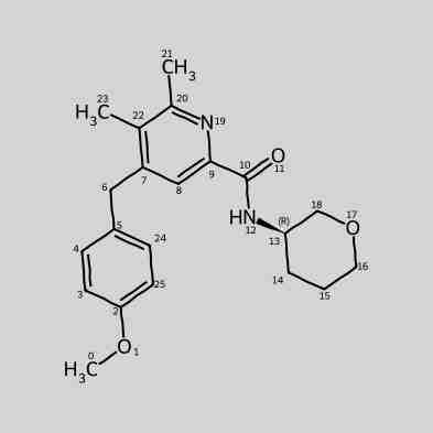 COc1ccc(Cc2cc(C(=O)N[C@@H]3CCCOC3)nc(C)c2C)cc1